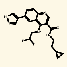 O=C(NCCC1CC1)c1cnc2ccc(-c3cn[nH]c3)cc2c1NCC(F)F